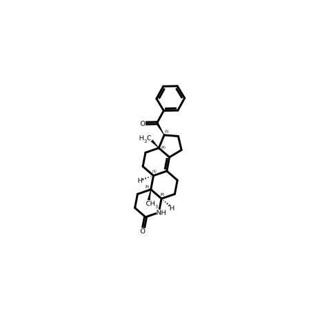 C[C@]12CCC(=O)N[C@@H]1CCC1=C3CC[C@H](C(=O)c4ccccc4)[C@@]3(C)CC[C@@H]12